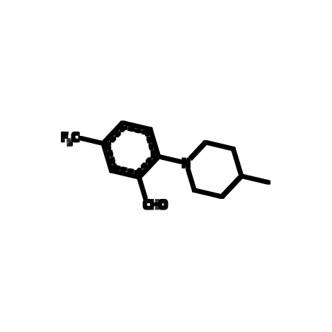 CC1CCN(c2ccc(C(F)(F)F)cc2C=O)CC1